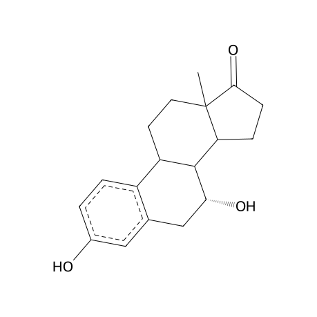 CC12CCC3c4ccc(O)cc4C[C@@H](O)C3C1CCC2=O